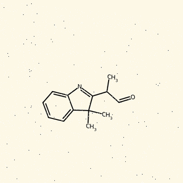 CC(C=O)C1=Nc2ccccc2C1(C)C